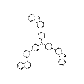 c1cc(-c2ccc(N(c3ccc(-c4ccc5sc6ccccc6c5c4)cc3)c3ccc(-c4ccc5sc6ccccc6c5c4)cc3)cc2)cc(-c2cccc3ccccc23)c1